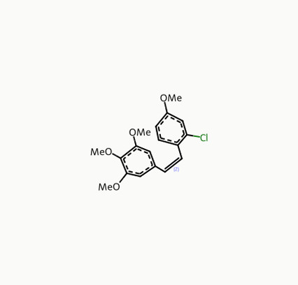 COc1ccc(/C=C\c2cc(OC)c(OC)c(OC)c2)c(Cl)c1